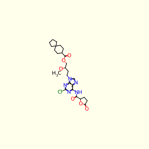 COC(CCn1cnc2c(NC(=O)C3CCC(=O)O3)nc(Cl)nc21)COC(=O)C1CCC2(CCCC2)CC1